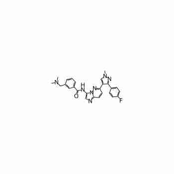 CN(C)Cc1cccc(C(=O)Nc2cnc3ccc(-c4cn(C)nc4-c4ccc(F)cc4)nn23)c1